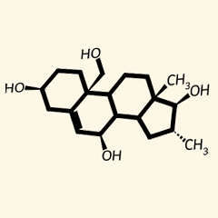 C[C@@H]1CC2C3C(CC[C@]2(C)[C@H]1O)[C@@]1(CO)CC[C@H](O)CC1=C[C@@H]3O